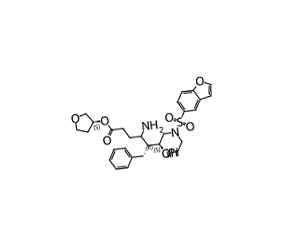 CC(C)CN(C[C@@H](O)[C@H](Cc1ccccc1)C(N)CCC(=O)O[C@H]1CCOC1)S(=O)(=O)c1ccc2occc2c1